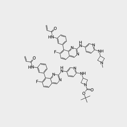 C=CC(=O)Nc1cccc(-c2c(F)ccc3cnc(Nc4ccc(NC5CN(C(=O)OC(C)(C)C)C5)nc4)nc23)c1.C=CC(=O)Nc1cccc(-c2c(F)ccc3cnc(Nc4ccc(NC5CN(C)C5)nc4)nc23)c1